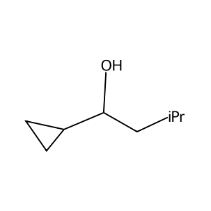 CC(C)CC(O)C1CC1